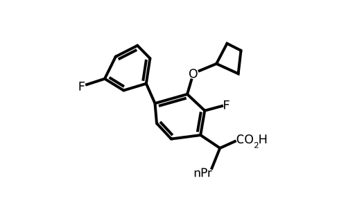 CCCC(C(=O)O)c1ccc(-c2cccc(F)c2)c(OC2CCC2)c1F